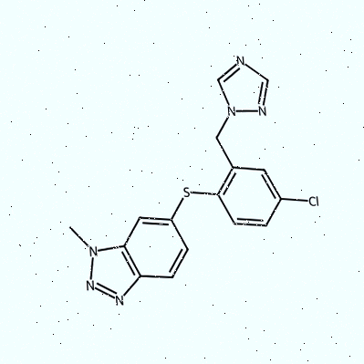 Cn1nnc2ccc(Sc3ccc(Cl)cc3Cn3cncn3)cc21